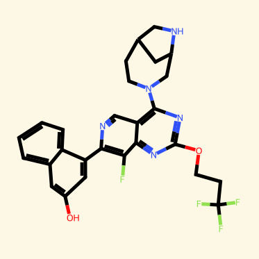 Oc1cc(-c2ncc3c(N4CCC5CNC(C5)C4)nc(OCCC(F)(F)F)nc3c2F)c2ccccc2c1